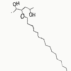 [CH2]C(O)C(CC(C)O)OCCCCCCCCCCCCCCCC